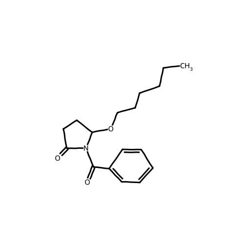 CCCCCCOC1CCC(=O)N1C(=O)c1ccccc1